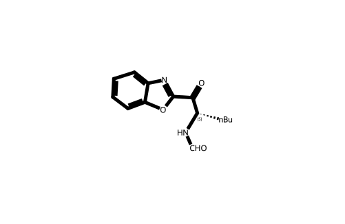 CCCC[C@H](NC=O)C(=O)c1nc2ccccc2o1